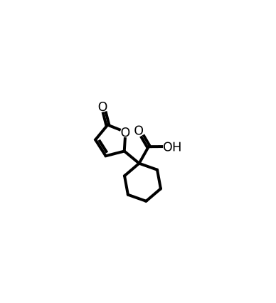 O=C1C=CC(C2(C(=O)O)CCCCC2)O1